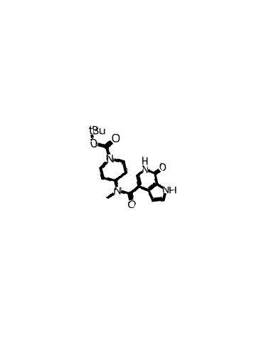 CN(C(=O)c1c[nH]c(=O)c2[nH]ccc12)C1CCN(C(=O)OC(C)(C)C)CC1